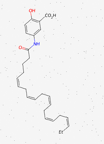 CC/C=C\C/C=C\C/C=C\C/C=C\C/C=C\CCCC(=O)Nc1ccc(O)c(C(=O)O)c1